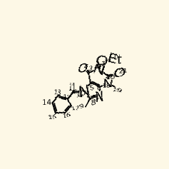 CCOn1c(=O)c2c(nc(C)n2Cc2ccccc2)n(C)c1=O